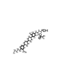 C=C(C)C(=O)OCC(CCCO)Cc1ccc(C2CCC(C3CCC(c4ccc(CCCCC)c(CC)c4)CC3)CC2)c(C)c1